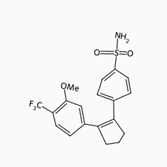 COc1cc(C2=C(c3ccc(S(N)(=O)=O)cc3)CCC2)ccc1C(F)(F)F